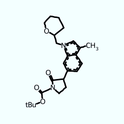 Cc1cn(CC2CCCCO2)c2cc(C3CCN(C(=O)OC(C)(C)C)C3=O)ccc12